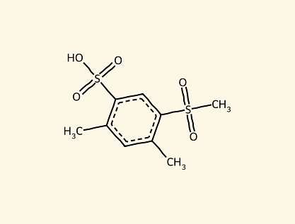 Cc1cc(C)c(S(=O)(=O)O)cc1S(C)(=O)=O